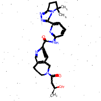 C[C@H](O)CC(=O)N1CCc2cnc(C(=O)Nc3cccc(-c4nnc5n4C(C)(C)CC5)n3)cc2C1